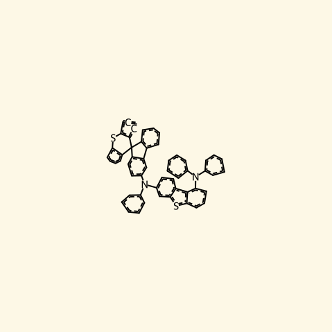 c1ccc(N(c2ccc3c(c2)-c2ccccc2C32c3ccccc3Sc3ccccc32)c2ccc3c(c2)sc2cccc(N(c4ccccc4)c4ccccc4)c23)cc1